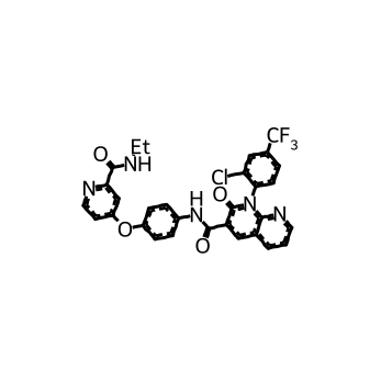 CCNC(=O)c1cc(Oc2ccc(NC(=O)c3cc4cccnc4n(-c4ccc(C(F)(F)F)cc4Cl)c3=O)cc2)ccn1